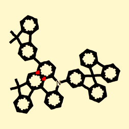 CC1(C)c2ccccc2-c2cc(-c3ccc(N(c4ccc5c(c4)-c4ccccc4C54c5ccccc5-c5ccccc54)c4ccccc4-c4cccc5c4-c4ccccc4C5(C)C)cc3)ccc21